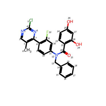 Cc1cnc(Cl)nc1-c1ccc(N(Cc2ccccc2)C(=O)c2ccc(O)cc2O)cc1F